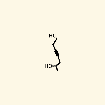 CC(O)CC#CCCO